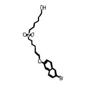 O=S(=O)(CCCCCCO)CCCCCCOc1ccc2cc(Br)ccc2c1